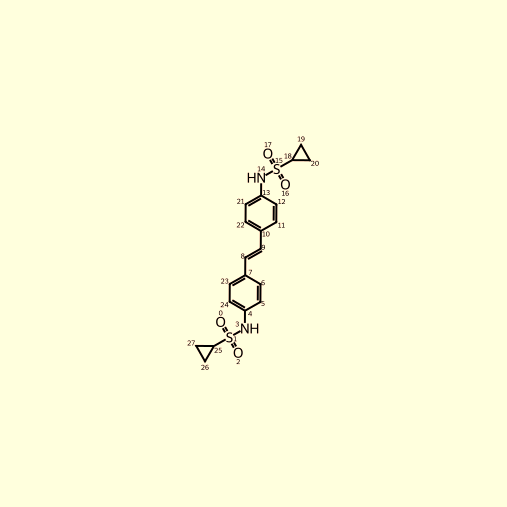 O=S(=O)(Nc1ccc(C=Cc2ccc(NS(=O)(=O)C3CC3)cc2)cc1)C1CC1